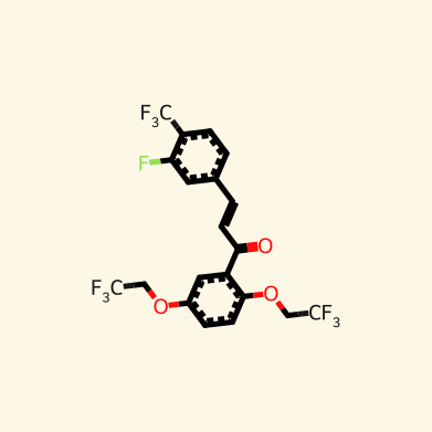 O=C(C=Cc1ccc(C(F)(F)F)c(F)c1)c1cc(OCC(F)(F)F)ccc1OCC(F)(F)F